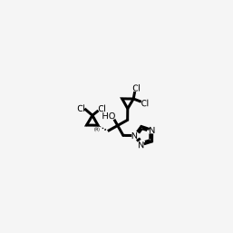 OC(CC1CC1(Cl)Cl)(C[C@@H]1CC1(Cl)Cl)Cn1cncn1